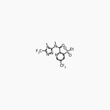 CCS(=O)(=O)c1cc(C(F)(F)F)cnc1C(=O)N(C)c1nnc(C(F)(F)F)n1C